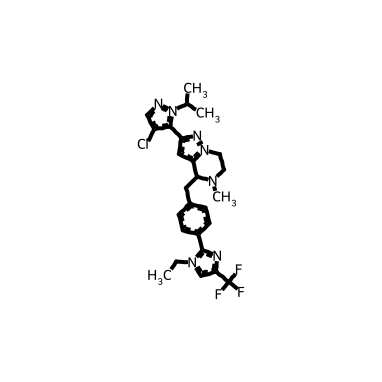 CCn1cc(C(F)(F)F)nc1-c1ccc(CC2c3cc(-c4c(Cl)cnn4C(C)C)nn3CCN2C)cc1